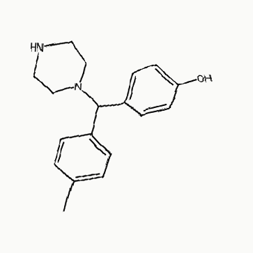 Cc1ccc(C(c2ccc(O)cc2)N2CCNCC2)cc1